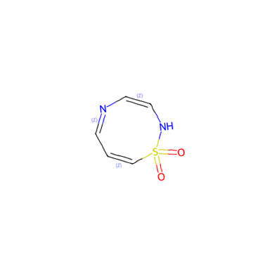 O=S1(=O)\C=C/C=N\C=C/N1